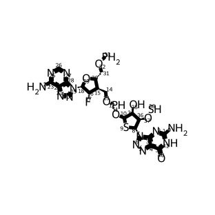 Nc1nc2c(nnn2[C@@H]2SC(OPOC[C@H]3[C@H](F)[C@H](n4nnc5c(N)ncnc54)O[C@@H]3COP)[C@@H](O)[C@H]2OS)c(=O)[nH]1